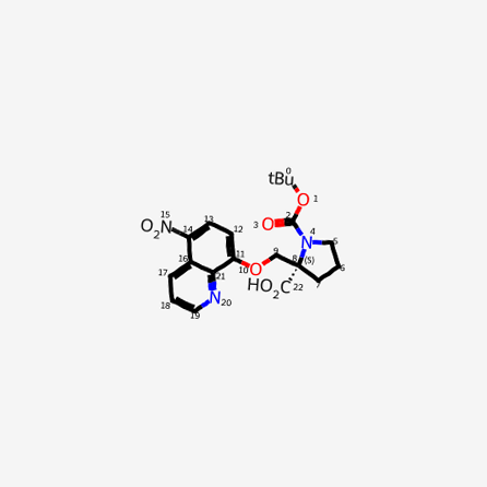 CC(C)(C)OC(=O)N1CCC[C@]1(COc1ccc([N+](=O)[O-])c2cccnc12)C(=O)O